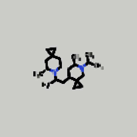 CC(C)N1CC2(CC2)C(CC(C)N2CCC3(CC3)C[C@H]2C)C[C@H]1C